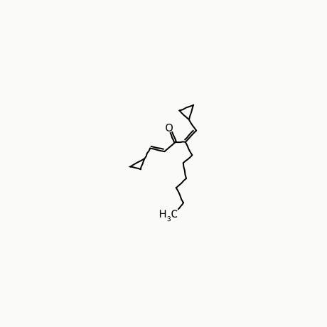 CCCCCCC(=CC1CC1)C(=O)/C=C/C1CC1